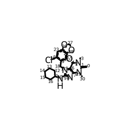 C=C1N(C)C(=O)c2c(nc(NC3CCCCC3)n2Cc2cc3c(cc2Cl)OCO3)N1C